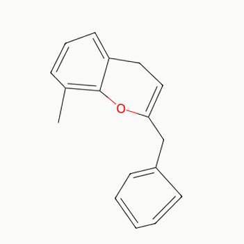 Cc1cccc2c1OC(Cc1ccccc1)=CC2